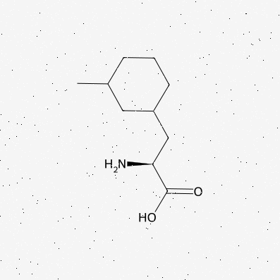 CC1CCCC(C[C@H](N)C(=O)O)C1